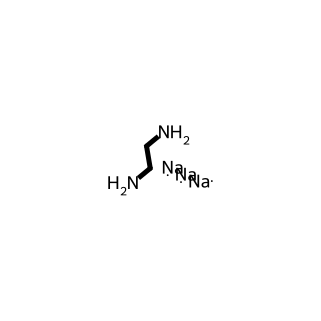 NCCN.[Na].[Na].[Na]